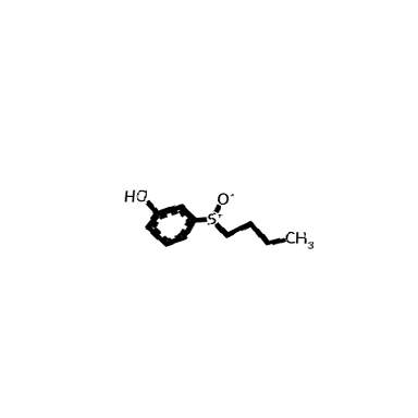 CCCC[S+]([O-])c1cccc(O)c1